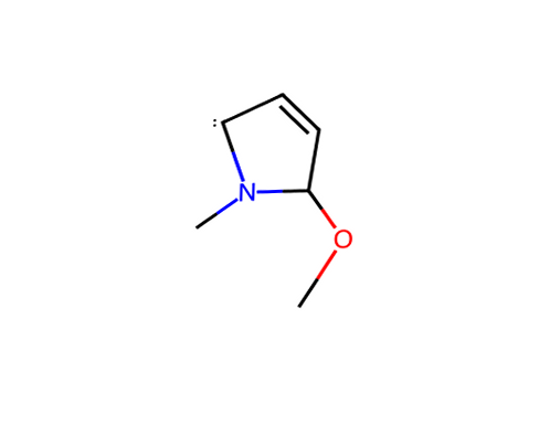 COC1C=C[C]N1C